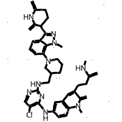 C=C(CCC1=Cc2cc(Nc3nc(NCC4CCCN(c5cccc6c(C7CCC(=C)NC7=C)nn(C)c56)C4)ncc3Cl)ccc2N(C)C1=C)NC